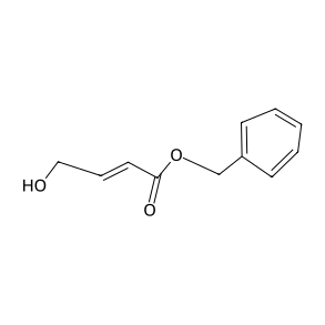 O=C(C=CCO)OCc1ccccc1